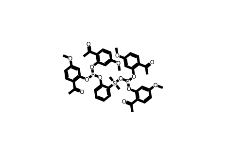 COc1ccc(C(C)=O)c(OP(Oc2cc(OC)ccc2C(C)=O)Oc2ccccc2[Si](C)(C)OP(Oc2cc(OC)ccc2C(C)=O)Oc2cc(OC)ccc2C(C)=O)c1